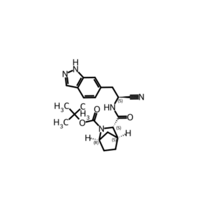 CC(C)(C)OC(=O)N1[C@@H]2CC[C@@H](C2)[C@H]1C(=O)N[C@H](C#N)Cc1ccc2cn[nH]c2c1